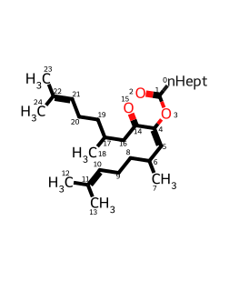 CCCCCCCC(=O)OC(=CC(C)CCC=C(C)C)C(=O)CC(C)CCC=C(C)C